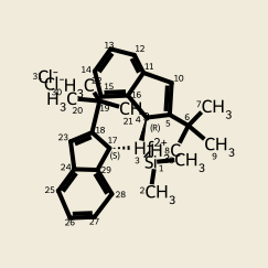 C[Si](C)=[Hf+2]([C@@H]1C(C(C)(C)C)=Cc2ccccc21)[C@H]1C(C(C)(C)C)=Cc2ccccc21.[Cl-].[Cl-]